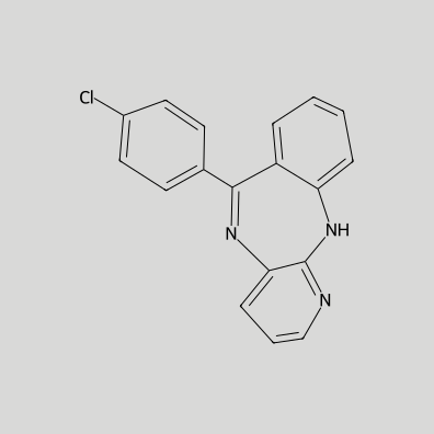 Clc1ccc(C2=Nc3cccnc3Nc3ccccc32)cc1